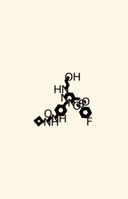 O=C(Nc1ccc(-c2nc(CS(=O)(=O)c3ccc(F)cc3)cc(NCCO)n2)cc1)NC1CCC1